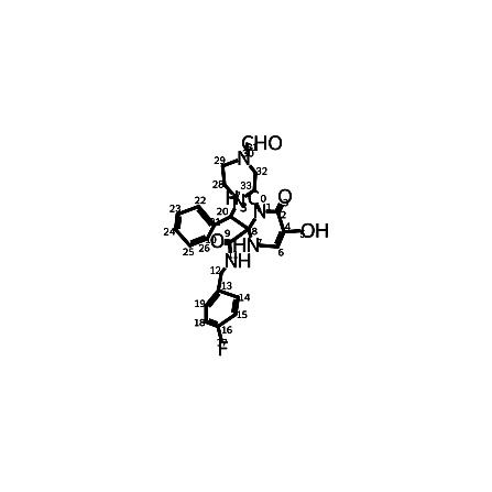 CN1C(=O)C(O)=CNC1(C(=O)NCc1ccc(F)cc1)C(c1ccccc1)N1CCN(C=O)CC1